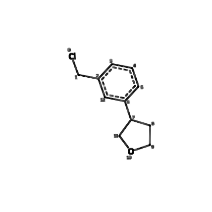 ClCc1cccc(C2CCOC2)c1